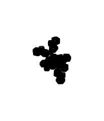 CC1(C2(C)c3ccccc3-c3c2cc(N(c2ccc4c(c2)oc2ccccc24)c2ccc4c(c2)oc2ccccc24)c2ccccc32)c2ccccc2-c2c1cc(N(c1ccc3c(c1)oc1ccccc13)c1ccc3c(c1)oc1ccccc13)c1ccccc21